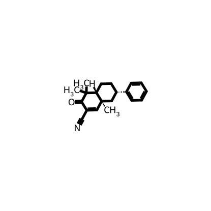 CC1(C)C(=O)C(C#N)=C[C@]2(C)C[C@@H](c3ccccc3)CC[C@@H]12